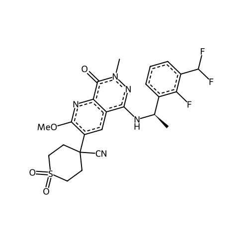 COc1nc2c(=O)n(C)nc(N[C@H](C)c3cccc(C(F)F)c3F)c2cc1C1(C#N)CCS(=O)(=O)CC1